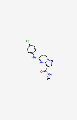 CC(C)NC(=O)c1cnn2ccc(Nc3ccc(Cl)cc3)nc12